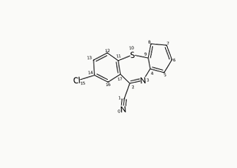 N#CC1=Nc2ccccc2Sc2ccc(Cl)cc21